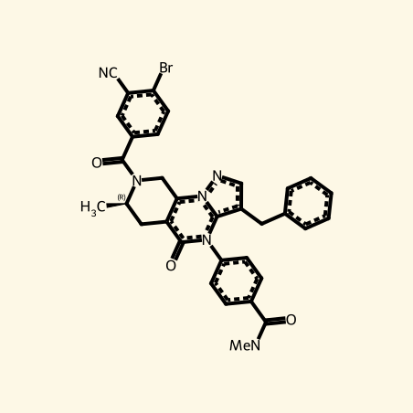 CNC(=O)c1ccc(-n2c(=O)c3c(n4ncc(Cc5ccccc5)c24)CN(C(=O)c2ccc(Br)c(C#N)c2)[C@H](C)C3)cc1